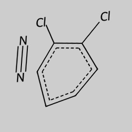 Clc1ccccc1Cl.N#N